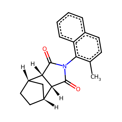 Cc1ccc2ccccc2c1N1C(=O)[C@@H]2[C@@H]3CC[C@@H](C3)[C@@H]2C1=O